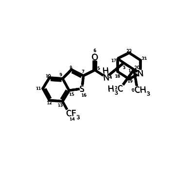 CC1(C)C(NC(=O)c2cc3cccc(C(F)(F)F)c3s2)C2CCN1CC2